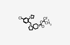 CC(OC(=O)N1CCC2(CCCN2Cc2ccc(Cl)cc2N2CCC2)CC1)C(F)(F)F